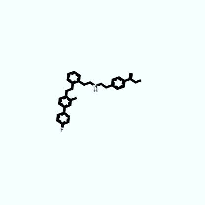 C=C(CC)c1ccc(CCNCCc2ccccc2CCc2ccc(-c3ccc(F)cc3)cc2C)cc1